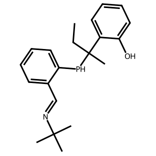 CCC(C)(Pc1ccccc1/C=N/C(C)(C)C)c1ccccc1O